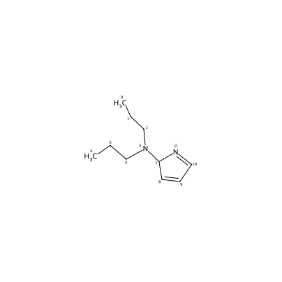 CCCN(CCC)C1C=CC=N1